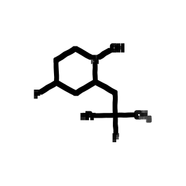 CCCC(C)(F)CC1CC(F)CCN1O